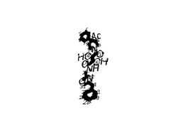 CC(=O)C1(c2ccccc2)CCN(C(=O)[C@H](O)[C@@H](O)C(=O)NCC2=NC(Cc3ccccc3)CO2)CC1